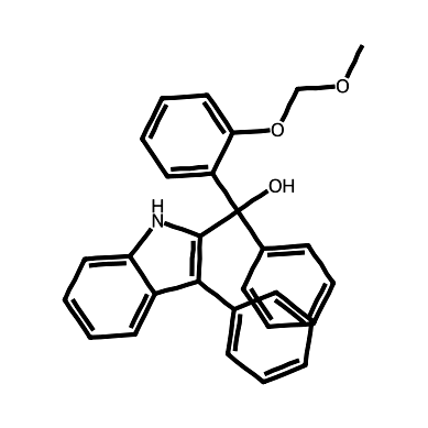 COCOc1ccccc1C(O)(c1ccccc1)c1[nH]c2ccccc2c1-c1ccccc1